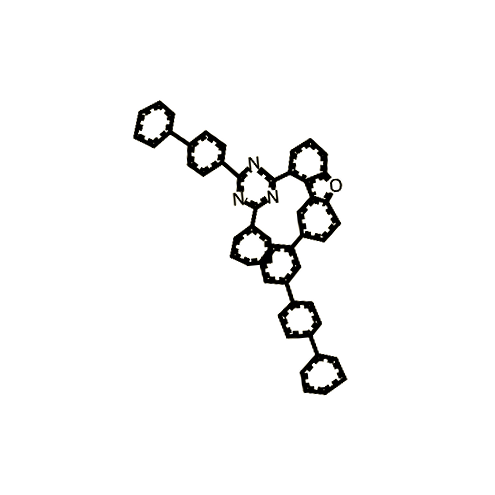 c1ccc(-c2ccc(-c3cccc(-c4ccc5oc6cccc(-c7nc(-c8ccccc8)nc(-c8ccc(-c9ccccc9)cc8)n7)c6c5c4)c3)cc2)cc1